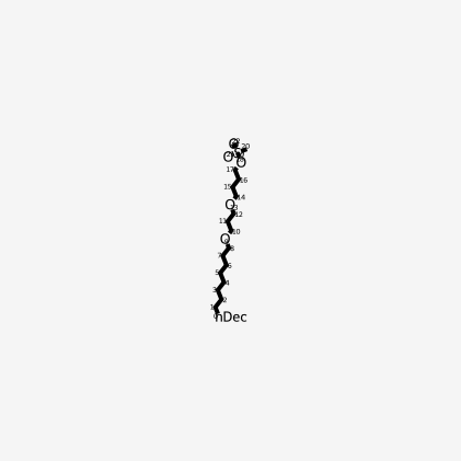 CCCCCCCCCCCCCCCCCCOCCCOCCCCOS(C)(=O)=O